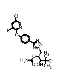 CC(C)(C)C(O)[C@H](Cn1nnc(-c2ccc(Oc3ncc(Cl)cc3F)cc2)n1)OC(N)=O